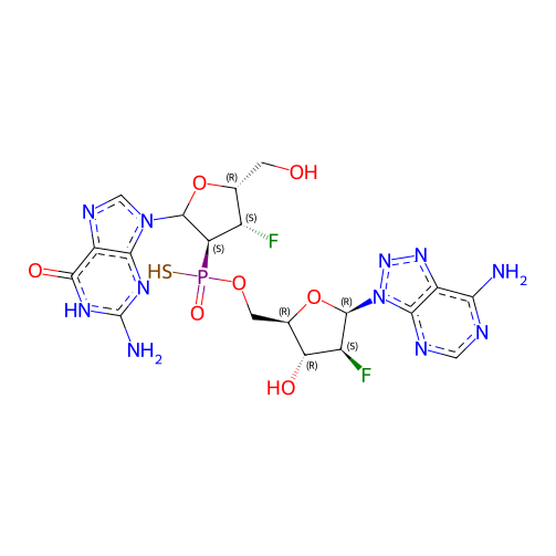 Nc1nc2c(ncn2C2O[C@H](CO)[C@H](F)[C@H]2P(=O)(S)OC[C@H]2O[C@@H](n3nnc4c(N)ncnc43)[C@@H](F)[C@@H]2O)c(=O)[nH]1